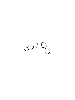 Cc1nn(-c2cccc(C(=O)N(C)c3ccc4oc(C(C)C)nc4c3)c2)c(C)c1Cl